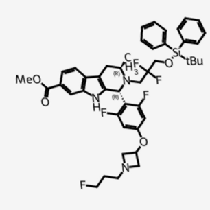 COC(=O)c1ccc2c3c([nH]c2c1)[C@@H](c1c(F)cc(OC2CN(CCCF)C2)cc1F)N(CC(F)(F)CO[Si](c1ccccc1)(c1ccccc1)C(C)(C)C)[C@H](C)C3